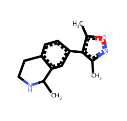 Cc1noc(C)c1-c1ccc2c(c1)C(C)NCC2